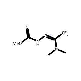 COC(=O)N/N=C(\N(C)C)C(F)(F)F